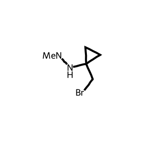 CNNC1(CBr)CC1